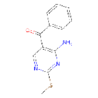 CSc1ncc(C(=O)c2ccccc2)c(N)n1